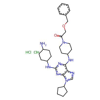 Cl.Cl.NC1CCC(Nc2nc(NC3CCN(C(=O)COCc4ccccc4)CC3)c3ncn(C4CCCC4)c3n2)CC1